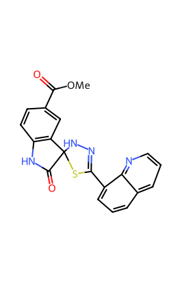 COC(=O)c1ccc2c(c1)C1(NN=C(c3cccc4cccnc34)S1)C(=O)N2